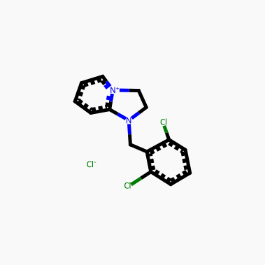 Clc1cccc(Cl)c1CN1CC[n+]2ccccc21.[Cl-]